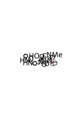 CN[C@@H](CC(=O)O)C(=O)N(C(=O)CN1C(=O)N(Cc2ccc(NC(=O)Nc3ccccc3C)cc2)C(C)(C)C1=O)C1C2CC3CC(C2)CC1C3